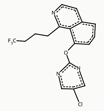 FC(F)(F)CCCc1nccc2cccc(Oc3ncc(Cl)cn3)c12